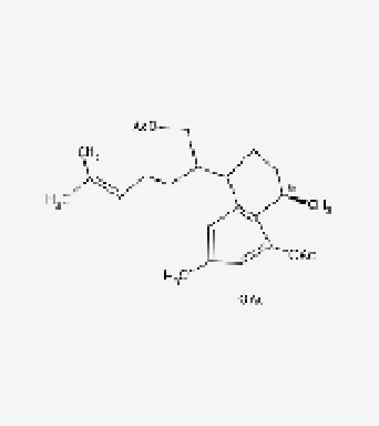 CC(=O)OCC(CCC=C(C)C)C1CC[C@@H](C)c2c1cc(C)c(OC(C)=O)c2OC(C)=O